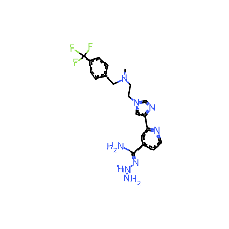 CN(CCn1cnc(-c2cc(/C(N)=N/NN)ccn2)c1)Cc1ccc(C(F)(F)F)cc1